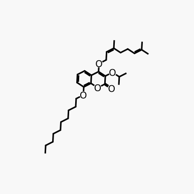 CCCCCCCCCCOc1cccc2c(OCC=C(C)CCC=C(C)C)c(OC(C)C)c(=O)oc12